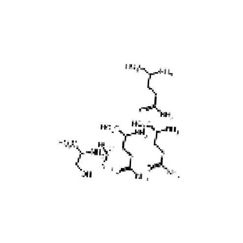 NC(=O)CC[C@H](N)C(=O)O.NC(=O)CC[C@H](N)C(=O)O.NC(=O)CC[C@H](N)C(=O)O.NCC(=O)O.N[C@@H](CO)C(=O)O